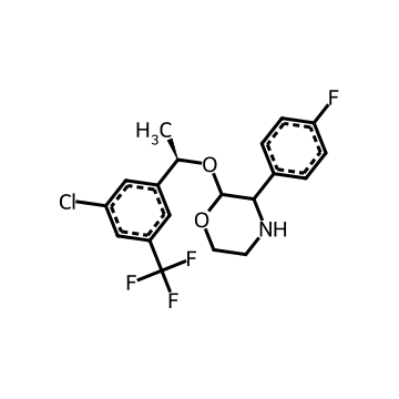 C[C@@H](OC1OCCNC1c1ccc(F)cc1)c1cc(Cl)cc(C(F)(F)F)c1